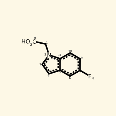 O=C(O)Cn1ccc2cc(F)ccc21